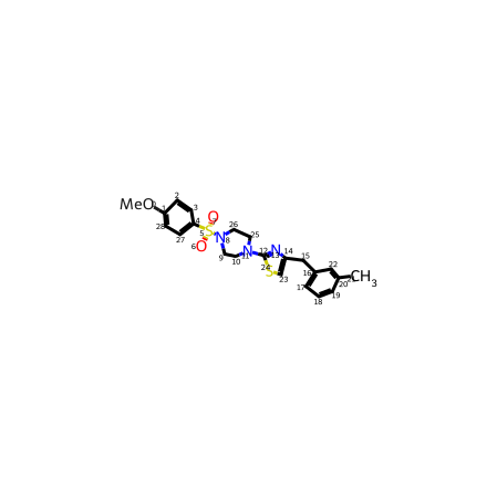 COc1ccc(S(=O)(=O)N2CCN(c3nc(Cc4cccc(C)c4)cs3)CC2)cc1